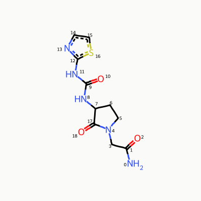 NC(=O)CN1CCC(NC(=O)Nc2nccs2)C1=O